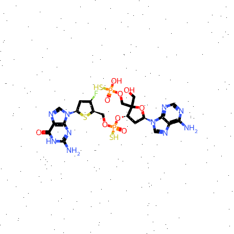 Nc1nc2c(ncn2[C@H]2C[C@@H](F)[C@@H](COP(=O)(S)O[C@H]3C[C@H](n4cnc5c(N)ncnc54)OC3(CO)COP(=O)(O)S)S2)c(=O)[nH]1